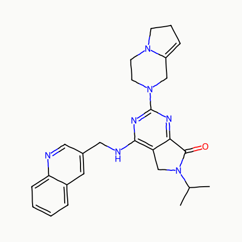 CC(C)N1Cc2c(NCc3cnc4ccccc4c3)nc(N3CCN4CCC=C4C3)nc2C1=O